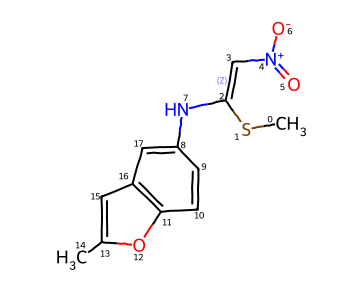 CS/C(=C\[N+](=O)[O-])Nc1ccc2oc(C)cc2c1